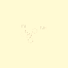 NCc1ccc(-n2c(N3CCNCC3)c(C=O)c3ccccc32)cc1